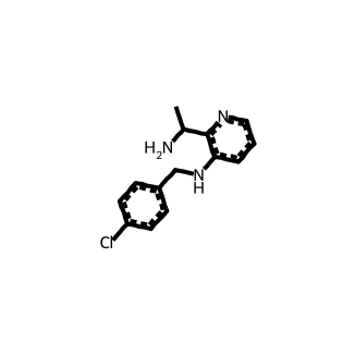 CC(N)c1ncccc1NCc1ccc(Cl)cc1